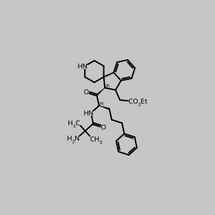 CCOC(=O)CC1c2ccccc2C2(CCNCC2)[C@@H]1C(=O)[C@@H](CCCc1ccccc1)NC(=O)C(C)(C)N